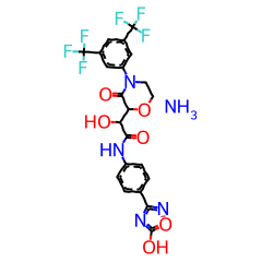 N.O=C(Nc1ccc(-c2noc(O)n2)cc1)C(O)C1OCCN(c2cc(C(F)(F)F)cc(C(F)(F)F)c2)C1=O